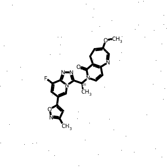 COC1=CCc2c(ccn([C@@H](C)c3nnc4c(F)cc(-c5cc(C)no5)cn34)c2=O)N=C1